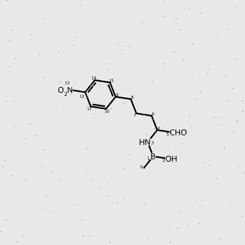 CB(O)NC(C=O)CCCc1ccc([N+](=O)[O-])cc1